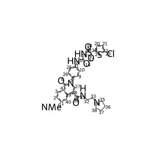 CNc1ccc2c(=O)n(-c3ccc(NC(=O)NS(=O)(=O)c4ccc(Cl)s4)cc3)cc(C(=O)NCCN3CCCC3)c2c1